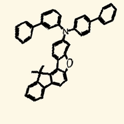 CC1(C)c2ccccc2-c2ccc3oc4cc(N(c5ccc(-c6ccccc6)cc5)c5cccc(-c6ccccc6)c5)ccc4c3c21